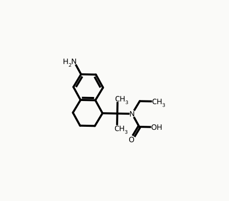 CCN(C(=O)O)C(C)(C)C1CCCc2cc(N)ccc21